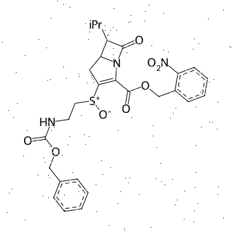 CC(C)C1C(=O)N2C(C(=O)OCc3ccccc3[N+](=O)[O-])=C([S+]([O-])CCNC(=O)OCc3ccccc3)CC12